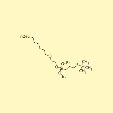 CCCCCCCCCCCCCCCCOCCO[Si](CCCS[Si](C)(C)C)(OCC)OCC